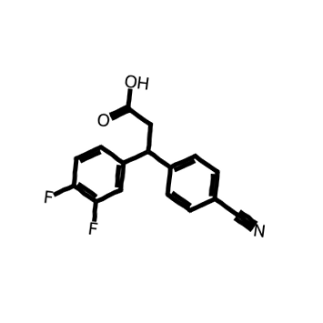 N#Cc1ccc(C(CC(=O)O)c2ccc(F)c(F)c2)cc1